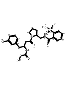 CC(C)(C)OC(=O)NC(CC(=O)N1CCCC1CNC(=O)c1ccccc1S(C)(=O)=O)Cc1cccc(Cl)c1